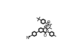 Cc1ccc(-n2c(C(C)N(C)S(=O)(=O)c3ccc(C(C)(C)C)cc3)nc3ccc(-c4ccc(C#N)cc4)cc3c2=O)cc1